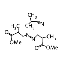 CC(C)C#N.COC(=O)C(C)CN=NCC(C)C(=O)OC